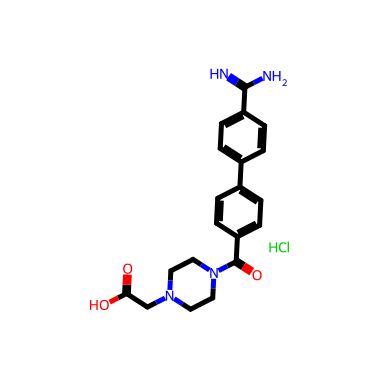 Cl.N=C(N)c1ccc(-c2ccc(C(=O)N3CCN(CC(=O)O)CC3)cc2)cc1